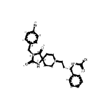 CCC(=O)N[C@@H](CCN1CCC2(CC1)NC(=O)N(Cc1ccc(Br)cc1)C2=O)c1ccccc1